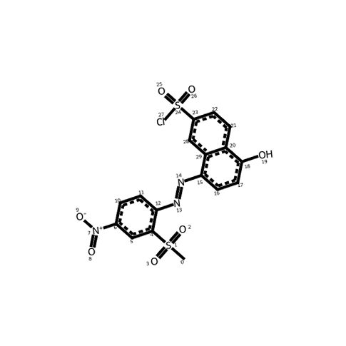 CS(=O)(=O)c1cc([N+](=O)[O-])ccc1N=Nc1ccc(O)c2ccc(S(=O)(=O)Cl)cc12